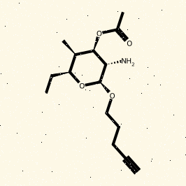 C#CCCCO[C@H]1O[C@@H](CC)[C@@H](C)[C@@H](OC(C)=O)[C@@H]1N